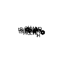 CC(C)(C)[Si]1(C(C)(C)C)OC[C@H]2O[C@@H](n3cnc4c(NC(=O)c5ccccc5)ncnc43)[C@@](C)(O)C2O1